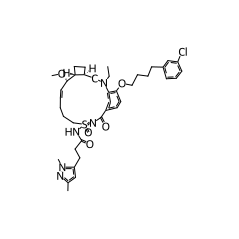 CCN1C[C@@H]2CC[C@H]2[C@@H](OC)/C=C/CCCS(=O)(NC(=O)CCc2cc(C)nn2C)=NC(=O)c2ccc(OCCCCc3cccc(Cl)c3)c1c2